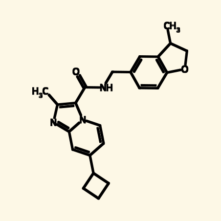 Cc1nc2cc(C3CCC3)ccn2c1C(=O)NCc1ccc2c(c1)C(C)CO2